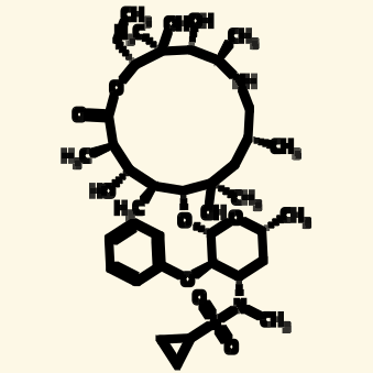 CC[C@H]1OC(=O)[C@H](C)[C@@H](O)[C@H](C)[C@@H](O[C@@H]2O[C@H](C)C[C@H](N(C)S(=O)(=O)C3CC3)[C@H]2Oc2ccccc2)[C@](C)(O)C[C@@H](C)CN[C@H](C)[C@@H](O)[C@]1(C)O